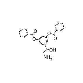 NCC(O)c1cc(OC(=O)c2ccccc2)cc(OC(=O)c2ccccc2)c1